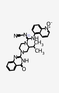 CC(C)C1CN(c2nc3ccccc3c(=O)[nH]2)CCN1/C(=N\C#N)Nc1cccc2c1ccc[n+]2[O-]